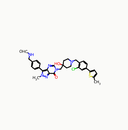 Cc1ccc(-c2ccc(CN3CCC(O)(Cn4cnc5c(-c6ccc(CNC=O)cc6)n(C)nc5c4=O)CC3)c(Cl)c2)s1